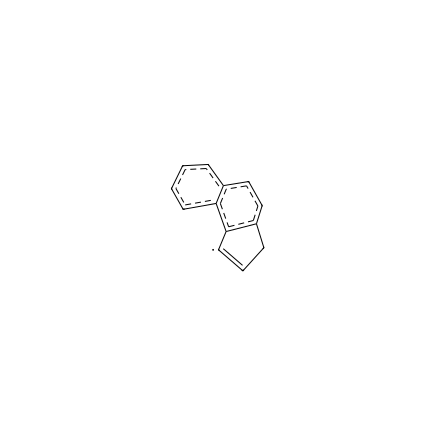 [C]1=CCc2ccc3ccccc3c21